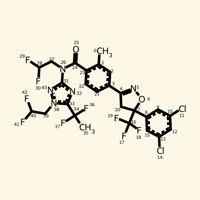 Cc1cc(C2=NOC(c3cc(Cl)cc(Cl)c3)(C(F)(F)F)C2)ccc1C(=O)N(CC(F)F)c1nc(C(C)(F)F)n(CC(F)F)n1